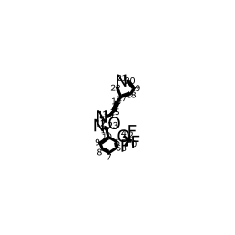 FC(F)(F)Oc1ccccc1-c1nnc(C#Cc2cccnc2)o1